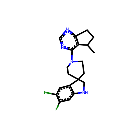 CC1CCc2ncnc(N3CCC4(CC3)CNc3cc(F)c(F)cc34)c21